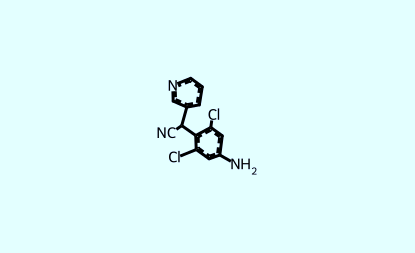 N#CC(c1cccnc1)c1c(Cl)cc(N)cc1Cl